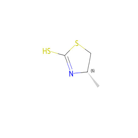 C[C@H]1CSC(S)=N1